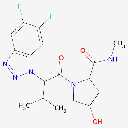 CNC(=O)C1CC(O)CN1C(=O)C(C(C)C)n1nnc2cc(F)c(F)cc21